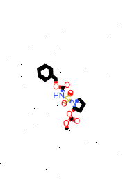 COC(=O)OC1CCCN1S(=O)(=O)NC(=O)OCc1ccccc1